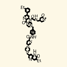 CCc1cccc(-c2cnc(C(=O)N3CCN(CC45CCC(NC(=O)c6ccc(N7CCN(Cc8cnc9cc(CC)c(=O)[nH]c9c8)CC7)cn6)(CC4)CO5)CC3)c(NC(=O)CNCC3CCN(C)C(=O)C3)c2)c1